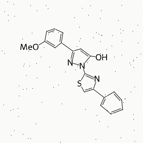 COc1cccc(-c2cc(O)n(-c3nc(-c4ccccc4)cs3)n2)c1